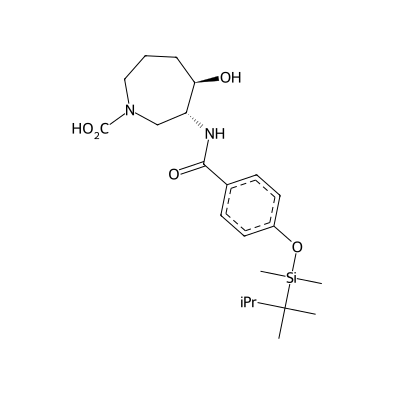 CC(C)C(C)(C)[Si](C)(C)Oc1ccc(C(=O)N[C@@H]2CN(C(=O)O)CCC[C@H]2O)cc1